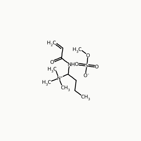 C=CC(=O)NC(CCC)[N+](C)(C)C.COS(=O)(=O)[O-]